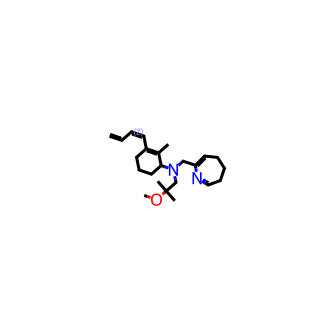 C=C/C=C\C1=C(C)C(N(CC2=CCCCC=N2)CC(C)(C)OC)CCC1